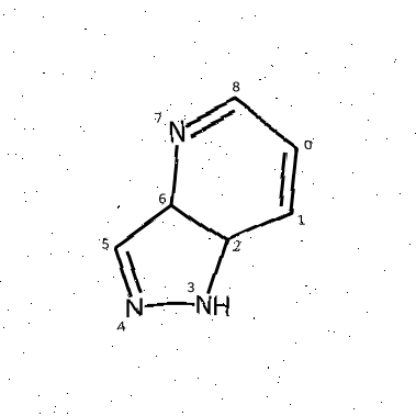 C1=CC2NN=CC2N=C1